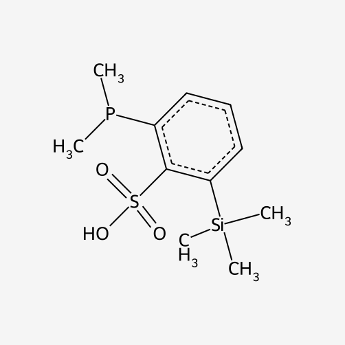 CP(C)c1cccc([Si](C)(C)C)c1S(=O)(=O)O